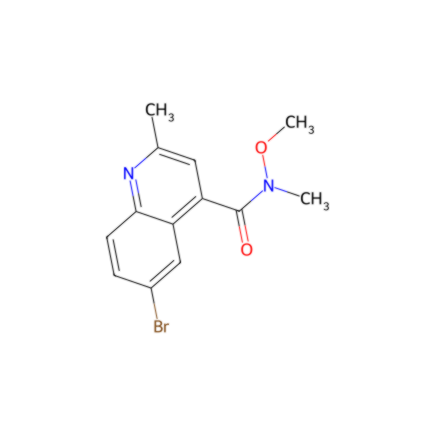 CON(C)C(=O)c1cc(C)nc2ccc(Br)cc12